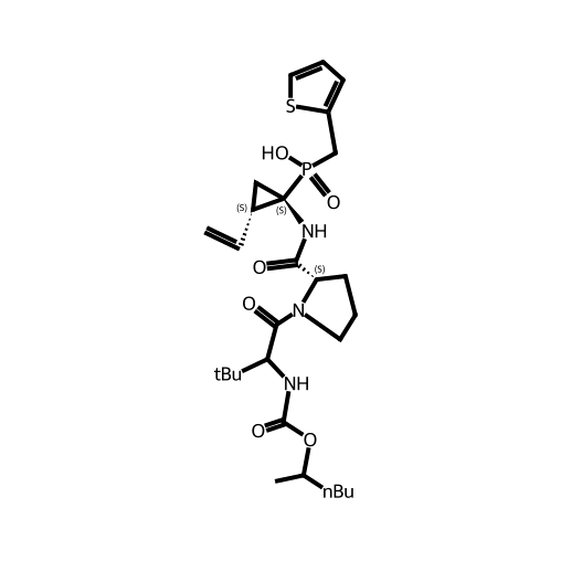 C=C[C@@H]1C[C@]1(NC(=O)[C@@H]1CCCN1C(=O)C(NC(=O)OC(C)CCCC)C(C)(C)C)P(=O)(O)Cc1cccs1